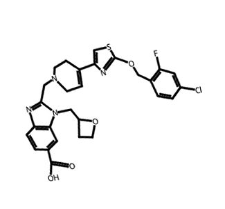 O=C(O)c1ccc2nc(CN3CC=C(c4csc(OCc5ccc(Cl)cc5F)n4)CC3)n(CC3CCO3)c2c1